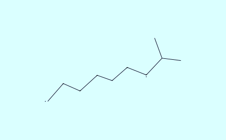 [CH2]CCCCC[CH]C(C)C